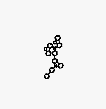 c1ccc(-c2ccc(-n3c4ccccc4c4cc(-c5ccc(N(c6cccc7c6oc6ccccc67)c6cccc7oc8ccccc8c67)cc5)ccc43)cc2)cc1